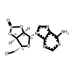 Nc1ncnc2c1ncn2[C@@H]1O[C@H](CCl)[C@H]2OS(=O)O[C@H]21